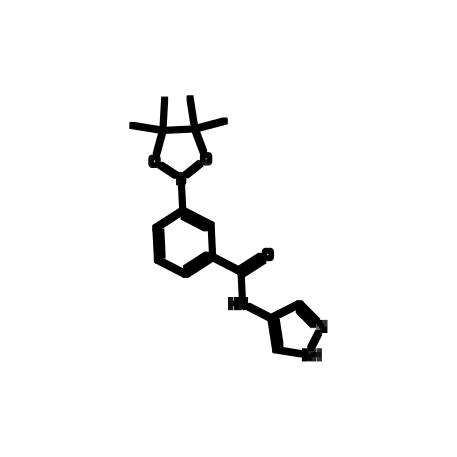 CC1(C)OB(c2cccc(C(=O)Nc3cn[nH]c3)c2)OC1(C)C